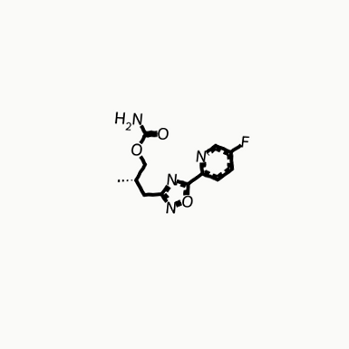 C[C@H](COC(N)=O)Cc1noc(-c2ccc(F)cn2)n1